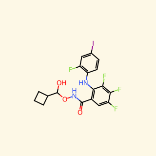 O=C(NOC(O)C1CCC1)c1cc(F)c(F)c(F)c1Nc1ccc(I)cc1F